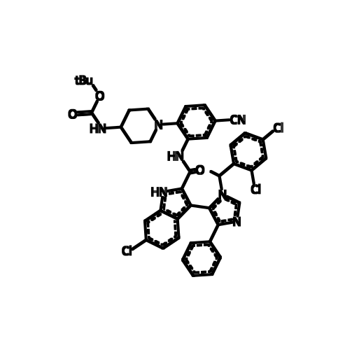 CC(c1ccc(Cl)cc1Cl)n1cnc(-c2ccccc2)c1-c1c(C(=O)Nc2cc(C#N)ccc2N2CCC(NC(=O)OC(C)(C)C)CC2)[nH]c2cc(Cl)ccc12